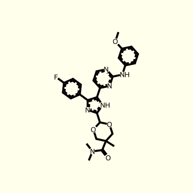 COc1cccc(Nc2nccc(-c3[nH]c(C4OCC(C)(C(=O)N(C)C)CO4)nc3-c3ccc(F)cc3)n2)c1